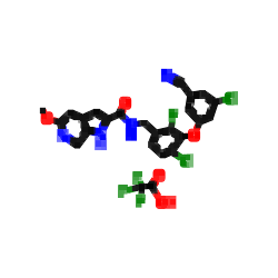 COc1cc2cc(C(=O)NCc3ccc(Cl)c(Oc4cc(Cl)cc(C#N)c4)c3F)[nH]c2cn1.O=C(O)C(F)(F)F